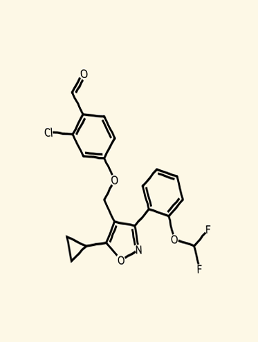 O=Cc1ccc(OCc2c(-c3ccccc3OC(F)F)noc2C2CC2)cc1Cl